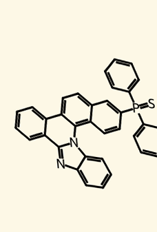 S=P(c1ccccc1)(c1ccccc1)c1ccc2c(ccc3c4ccccc4c4nc5ccccc5n4c23)c1